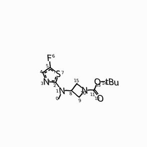 CN(c1ncc(F)s1)C1CN(C(=O)OC(C)(C)C)C1